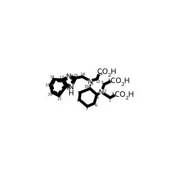 O=C(O)CN(CC(=O)O)C1CCCC[C@@H]1N(CC(=O)O)Cc1nc2ccccc2[nH]1